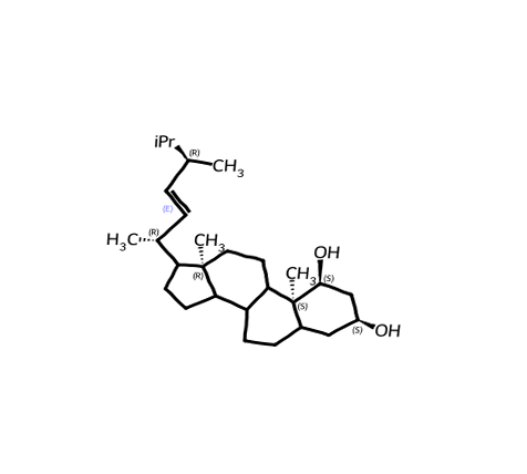 CC(C)[C@@H](C)/C=C/[C@@H](C)C1CCC2C3CCC4C[C@H](O)C[C@H](O)[C@]4(C)C3CC[C@@]21C